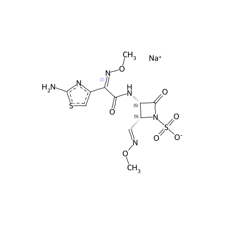 CON=C[C@@H]1[C@H](NC(=O)/C(=N\OC)c2csc(N)n2)C(=O)N1S(=O)(=O)[O-].[Na+]